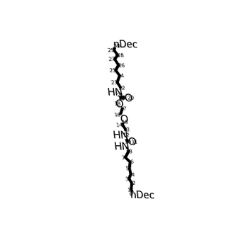 CCCCCCCCCCCCCCCCCCNC(=O)NCCOCCOC(=O)NCCCCCCCCCCCCCCCCCC